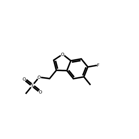 Cc1cc2c(COS(C)(=O)=O)coc2cc1F